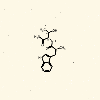 C[C@@H](Cc1c[nH]c2ccccc12)C(=O)N[C@H](C(N)=O)[C@@H](C)O